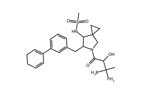 BC(C)(P)C(O)C(=O)N1CC2(CC2)C(NS(C)(=O)=O)C1Cc1cccc(C2=CCCC=C2)c1